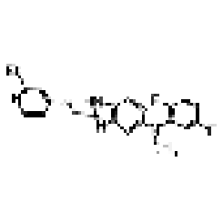 CCc1cc(SCc2nc3cc(N(C)c4cc(F)ccc4F)ccc3[nH]2)ccn1